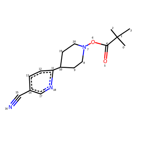 CC(C)(C)C(=O)ON1CCC(c2ccc(C#N)cn2)CC1